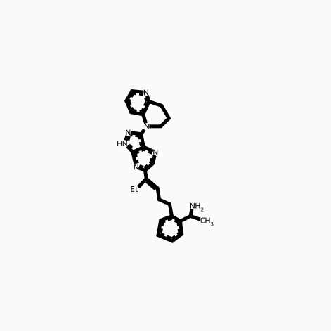 CC/C(=C\CCc1ccccc1C(C)N)c1cnc2c(N3CCCc4ncccc43)n[nH]c2n1